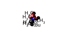 Cc1ccc(N(c2ccc3c(c2)C(C)(C)c2ccccc2-3)c2ccc3c(c2)C(C)(C)c2cccc(C(C)(C)C)c2-3)c(-c2cccc3c2oc2c(C)cccc23)c1